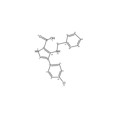 O=C(O)c1[nH]cc(-c2ccc(Cl)cc2)c1NCc1ccccc1